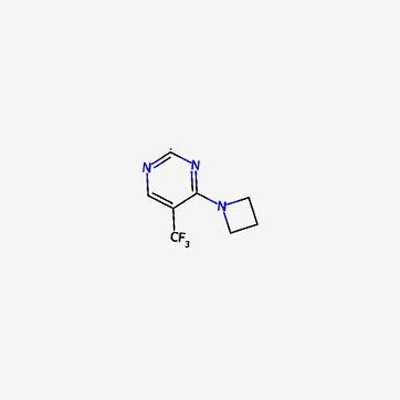 FC(F)(F)c1cn[c]nc1N1CCC1